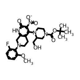 COc1cccc(F)c1N1CCc2c([nH]c(=O)c([N+](=O)[O-])c2N2CCN(C(=O)OC(C)(C)C)CC2CO)C1